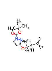 [2H]C([2H])(Oc1ccn(C(=O)OC(C)(C)C)n1)C([2H])([2H])C1C2(CC2)C12CC2